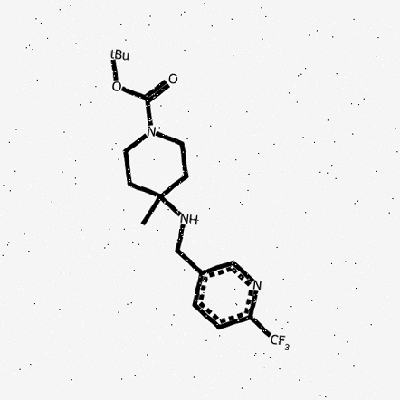 CC1(NCc2ccc(C(F)(F)F)nc2)CCN(C(=O)OC(C)(C)C)CC1